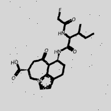 CCC(C)C(NC(=O)CF)C(=O)N[C@H]1CCc2ccn3c2C1C(=O)C[C@H](C(=O)O)C3